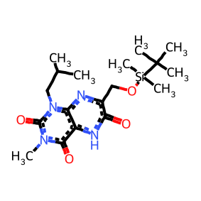 CC(C)Cn1c(=O)n(C)c(=O)c2[nH]c(=O)c(CO[Si](C)(C)C(C)(C)C)nc21